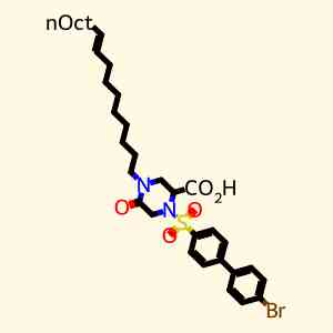 CCCCCCCC/C=C/CCCCCCCCN1CC(C(=O)O)N(S(=O)(=O)c2ccc(-c3ccc(Br)cc3)cc2)CC1=O